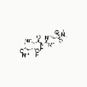 Cc1oncc1C(O)C(C#N)C(=O)Nc1ncc(S(=O)(=O)N(C)C)cn1